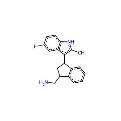 Cc1[nH]c2ccc(F)cc2c1C1CC(CN)c2ccccc21